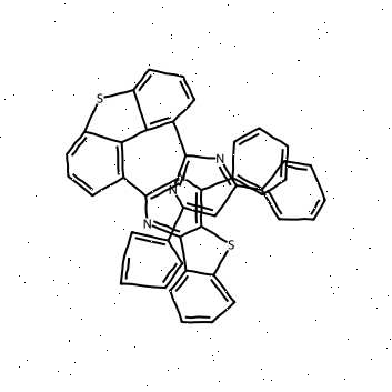 c1ccc(-c2cc(-c3ccccc3)nc(-c3cccc4sc5cccc(-c6nc(-c7ccccc7)c7sc8ccccc8c7n6)c5c34)n2)cc1